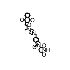 CC(c1cc2c(o1)C(=O)c1ccccc1C2=O)N1CCN(Cc2ccc3c(c2)CN(C2CCC(=O)NC2=O)C3=O)CC1